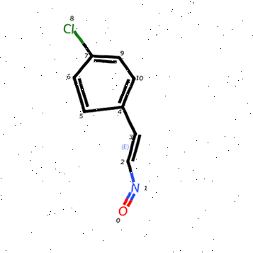 O=N/C=C/c1ccc(Cl)cc1